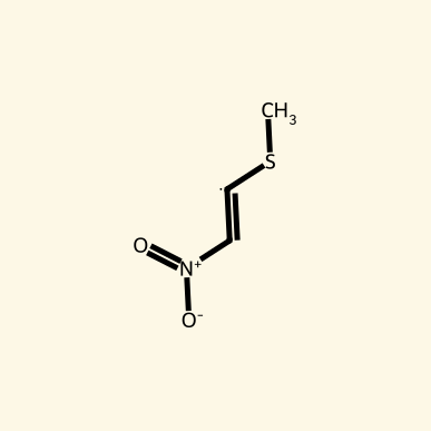 CS[C]=C[N+](=O)[O-]